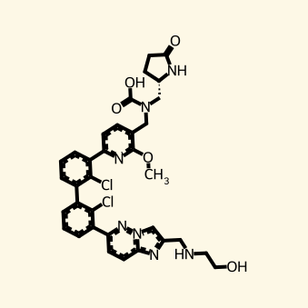 COc1nc(-c2cccc(-c3cccc(-c4ccc5nc(CNCCO)cn5n4)c3Cl)c2Cl)ccc1CN(C[C@@H]1CCC(=O)N1)C(=O)O